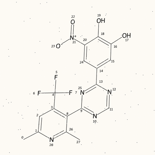 Cc1cc(C(F)(F)F)c(-c2ncnc(-c3cc(O)c(O)c([N+](=O)[O-])c3)n2)c(C)n1